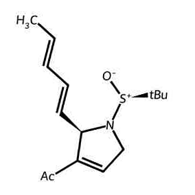 C/C=C/C=C/[C@@H]1C(C(C)=O)=CCN1[S@@+]([O-])C(C)(C)C